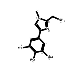 Cn1cc(-c2cc(C(C)(C)C)c(O)c(C(C)(C)C)c2)nc1CN